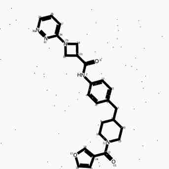 O=C(Nc1ccc(CC2CCN(C(=O)c3ccoc3)CC2)cc1)C1CN(c2cccnn2)C1